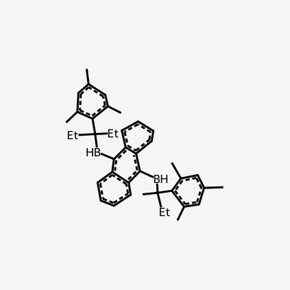 CCC(C)(Bc1c2ccccc2c(BC(CC)(CC)c2c(C)cc(C)cc2C)c2ccccc12)c1c(C)cc(C)cc1C